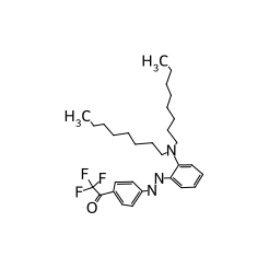 CCCCCCCCN(CCCCCCCC)c1ccccc1N=Nc1ccc(C(=O)C(F)(F)F)cc1